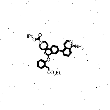 CCOC(=O)Cc1ccccc1OC1CC2(CCN(C(=O)OC(C)C)CC2)c2ccc(-c3cccc4c(N)nccc34)cc21